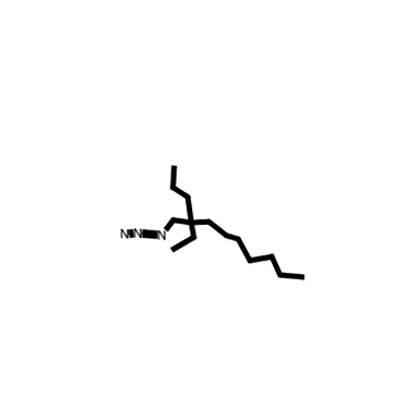 CCCCCCCC(CC)(CCC)CN=[N+]=[N-]